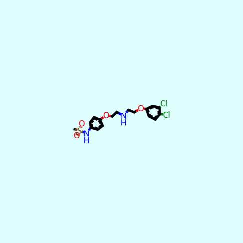 CS(=O)(=O)Nc1ccc(OCCNCCOc2ccc(Cl)c(Cl)c2)cc1